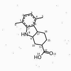 Cc1ccc(C)c2c1NC1CC(C(=O)O)CCC21